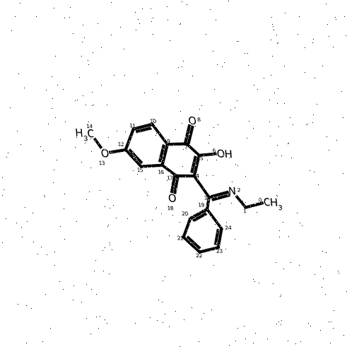 CCN=C(C1=C(O)C(=O)c2ccc(OC)cc2C1=O)c1ccccc1